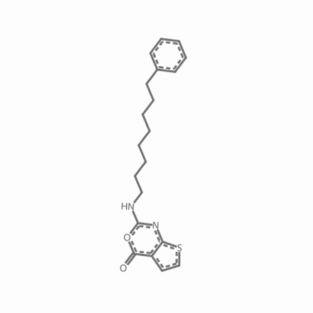 O=c1oc(NCCCCCCCCc2ccccc2)nc2sccc12